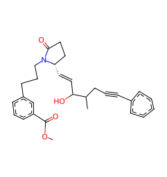 COC(=O)c1cccc(CCCN2C(=O)CC[C@@H]2/C=C/C(O)C(C)CC#Cc2ccccc2)c1